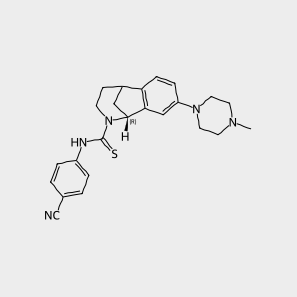 CN1CCN(c2ccc3c(c2)[C@H]2CC3CCN2C(=S)Nc2ccc(C#N)cc2)CC1